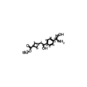 CC(C)(C)OC(=O)C1CN(CC(O)c2ccc(C(N)=NO)cc2)C1